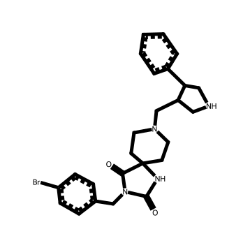 O=C1NC2(CCN(CC3CNCC3c3ccccc3)CC2)C(=O)N1Cc1ccc(Br)cc1